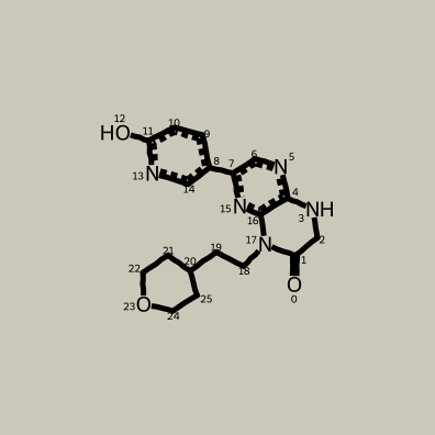 O=C1CNc2ncc(-c3ccc(O)nc3)nc2N1CCC1CCOCC1